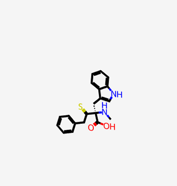 CN[C@@](Cc1c[nH]c2ccccc12)(C(=O)O)C(=S)Cc1ccccc1